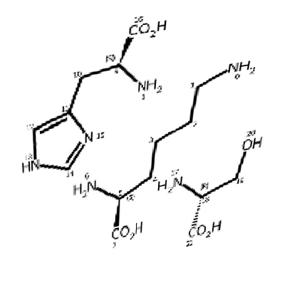 NCCCC[C@H](N)C(=O)O.N[C@@H](Cc1c[nH]cn1)C(=O)O.N[C@H](CO)C(=O)O